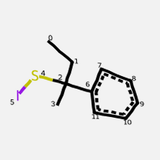 CCC(C)(SI)c1ccccc1